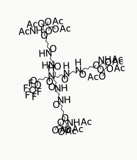 CC(=O)NC1C(OCCCCC(=O)NCCCNC(=O)CCC(CCC(=O)NCCCNC(=O)CCCCOC2OC(COC(C)=O)C(OC(C)=O)C(OC(C)=O)C2NC(C)=O)(CCC(=O)NCCCNC(=O)CCCCOC2OC(COC(C)=O)C(OC(C)=O)C(OC(C)=O)C2NC(C)=O)NC(=O)CCCC(=O)Oc2c(F)c(F)c(F)c(F)c2F)OC(COC(C)=O)C(OC(C)=O)C1OC(C)=O